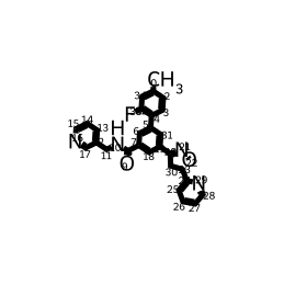 Cc1ccc(-c2cc(C(=O)NCc3cccnc3)cc(C3=NOC(c4ccccn4)C3)c2)c(F)c1